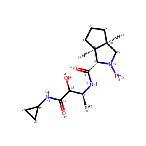 CCC[C@H](NC(=O)[C@@H]1[C@H]2CCC[C@H]2CN1P)C(O)C(=O)NC1CC1